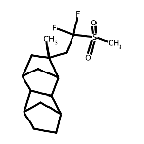 CC1(CC(F)(F)S(C)(=O)=O)CC2CC1C1C3CCC(C3)C21